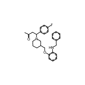 CC(=O)CC(c1ccc(F)cc1)N1CCCC(COc2ccccc2NCc2ccccc2)C1